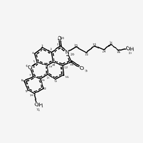 O=c1c2ccc3oc4ccc(O)cc4c4ccc(c(=O)n1CCCCCCO)c2c34